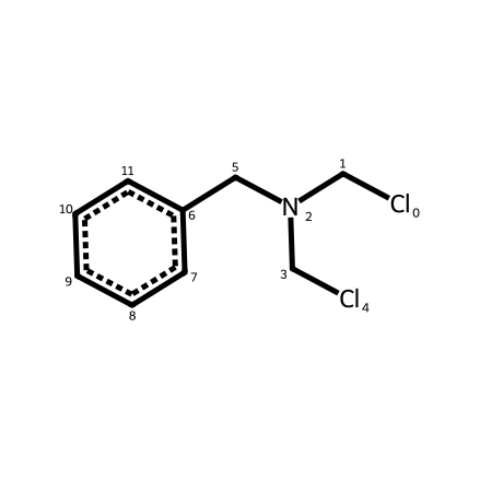 ClCN(CCl)Cc1ccccc1